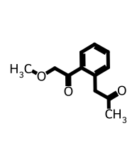 COCC(=O)c1ccccc1CC(C)=O